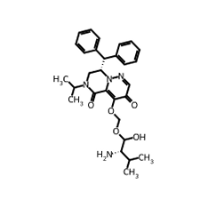 CC(C)[C@H](N)C(O)OCOc1c2n(ncc1=O)[C@@H](C(c1ccccc1)c1ccccc1)CN(C(C)C)C2=O